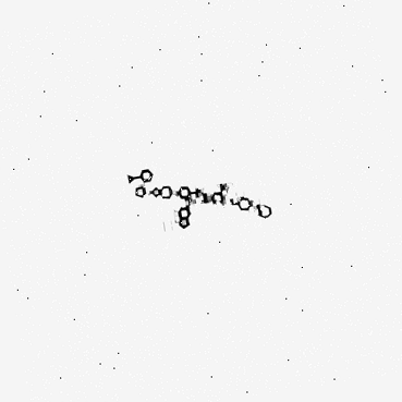 O=C(NS(=O)(=O)c1cnc(NCC2CCC(N=S3(=O)CCCCC3)CC2)c([N+](=O)[O-])c1)c1ccc(N2CCC3(CC2)CC(N2CCC[C@@H]2c2ccccc2C2CC2)C3)cc1Oc1cnc2[nH]ccc2c1